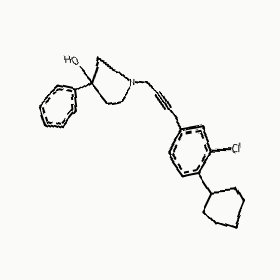 OC1(c2ccccc2)CCN(CC#Cc2ccc(C3CCCCC3)c(Cl)c2)CC1